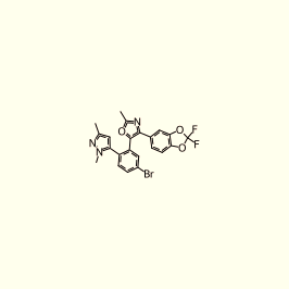 Cc1cc(-c2ccc(Br)cc2-c2oc(C)nc2-c2ccc3c(c2)OC(F)(F)O3)n(C)n1